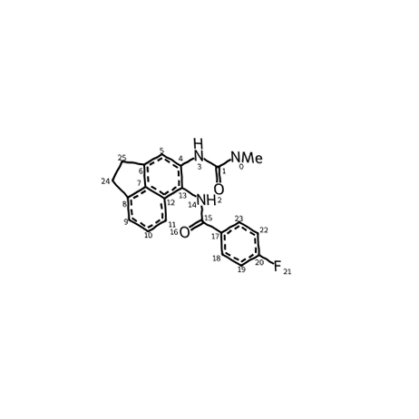 CNC(=O)Nc1cc2c3c(cccc3c1NC(=O)c1ccc(F)cc1)CC2